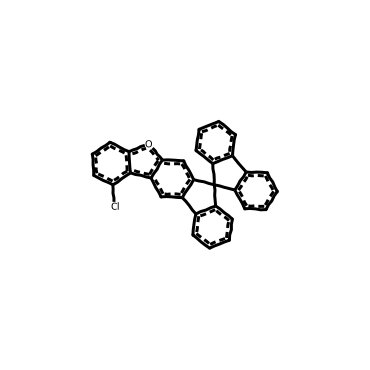 Clc1cccc2oc3cc4c(cc3c12)-c1ccccc1C41c2ccccc2-c2ccccc21